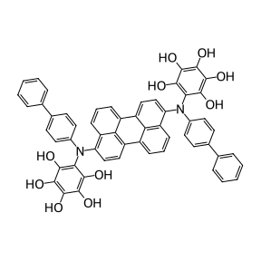 Oc1c(O)c(O)c(N(c2ccc(-c3ccccc3)cc2)c2ccc3c4cccc5c(N(c6ccc(-c7ccccc7)cc6)c6c(O)c(O)c(O)c(O)c6O)ccc(c6cccc2c63)c54)c(O)c1O